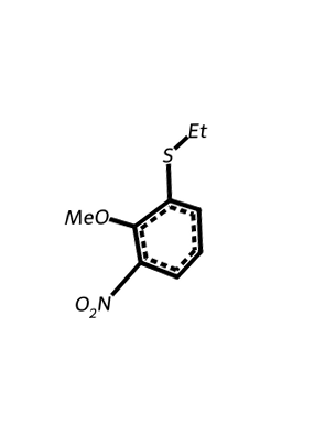 CCSc1cccc([N+](=O)[O-])c1OC